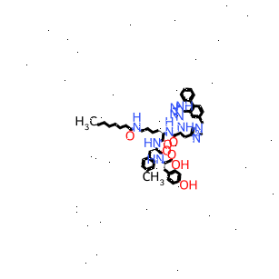 CCCCCCCC(=O)NCCCC[C@H](NC(=O)[C@@H](N)Cc1cn(Cc2ccc(-c3ccccc3)c(-c3nnn[nH]3)c2)cn1)C(=O)N[C@H](Cc1ccc(C)cc1)C(=O)N[C@@H](Cc1ccc(O)cc1)C(=O)O